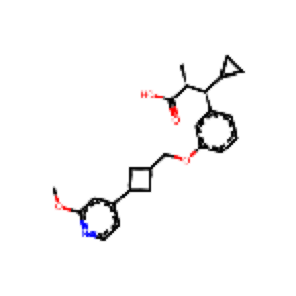 COc1cc(C2CC(COc3cccc([C@H](C4CC4)[C@H](C)C(=O)O)c3)C2)ccn1